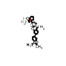 Cc1nc2cc(-c3ccc([C@H](C)N4CC[C@](CC(C)(C)O)(c5ccccc5)OC4=O)cc3)ccc2n1C